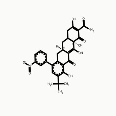 CC(C)(C)c1cc(-c2cccc([N+](=O)[O-])c2)c2c(c1O)C(=O)C1=C(O)[C@]3(O)C(=O)C(C(N)=O)=C(O)CC3C[C@@H]1C2